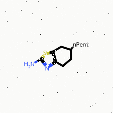 CCCCCC1CCc2nc(N)sc2C1